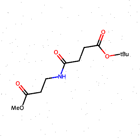 COC(=O)CCNC(=O)CCC(=O)OC(C)(C)C